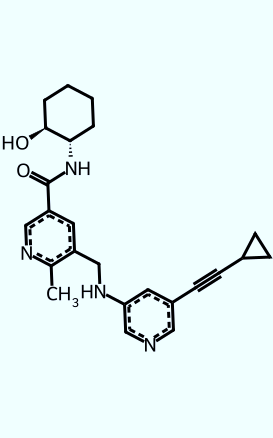 Cc1ncc(C(=O)N[C@H]2CCCC[C@@H]2O)cc1CNc1cncc(C#CC2CC2)c1